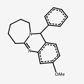 COc1ccc2c(c1)N=C1CCCCCN1C2c1ccccc1